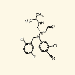 CC(C)NC[C@H](CC=O)N(Cc1cc(F)ccc1Cl)c1ccc(C#N)c(Cl)c1